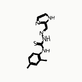 Cc1ccc(NC(=S)NN=Cc2ncc[nH]2)c(C)c1